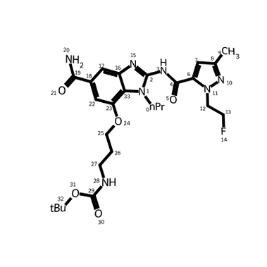 CCCn1c(NC(=O)c2cc(C)nn2CCF)nc2cc(C(N)=O)cc(OCCCNC(=O)OC(C)(C)C)c21